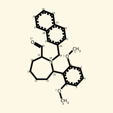 COc1cccc(OC)c1C1CCCCC(C=O)N1Cc1ccc2ccccc2c1